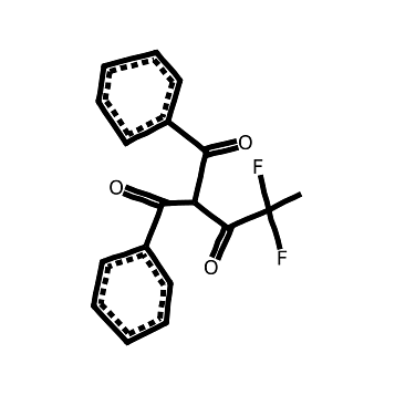 CC(F)(F)C(=O)C(C(=O)c1ccccc1)C(=O)c1ccccc1